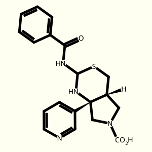 O=C(NC1N[C@@]2(c3cccnc3)CN(C(=O)O)C[C@H]2CS1)c1ccccc1